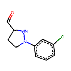 O=CC1CCN(c2cccc(Cl)c2)N1